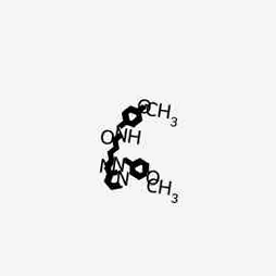 COc1ccc(CNC(=O)CCc2nc3cccnc3n2Cc2ccc(OC)cc2)cc1